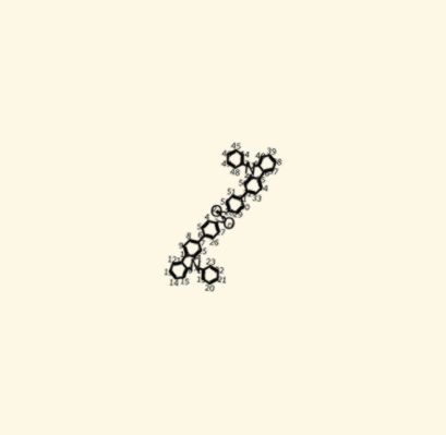 O=S(=O)(c1ccc(-c2ccc3c4ccccc4n(-c4ccccc4)c3c2)cc1)c1ccc(-c2ccc3c4ccccc4n(-c4ccccc4)c3c2)cc1